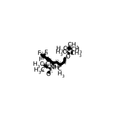 CC(CCO[Si](C)(C)C(C)(C)C)CC(C#CC(F)(F)F)N[S+]([O-])C(C)(C)C